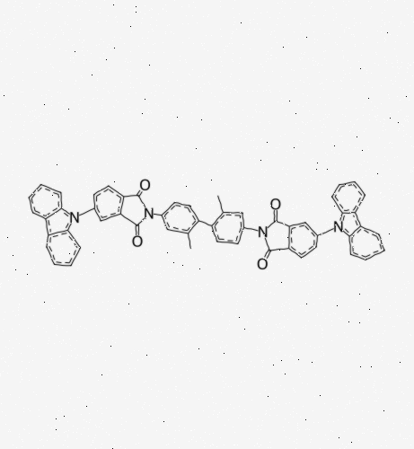 Cc1cc(N2C(=O)c3ccc(-n4c5ccccc5c5ccccc54)cc3C2=O)ccc1-c1ccc(N2C(=O)c3ccc(-n4c5ccccc5c5ccccc54)cc3C2=O)cc1C